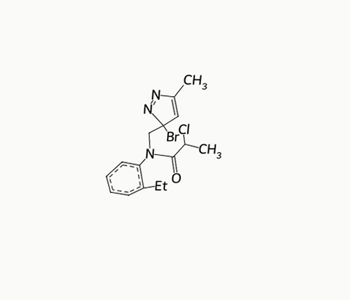 CCc1ccccc1N(CC1(Br)C=C(C)N=N1)C(=O)C(C)Cl